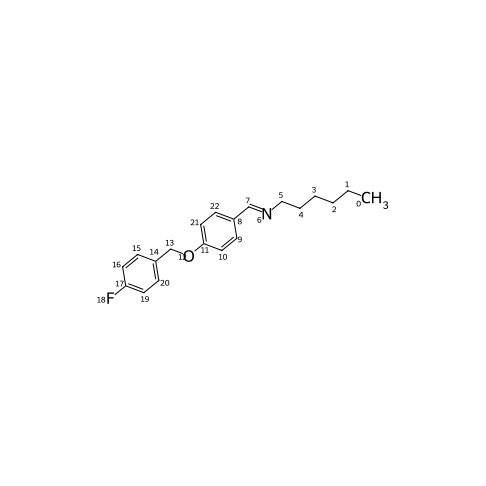 CCCCCC/N=C/c1ccc(OCc2ccc(F)cc2)cc1